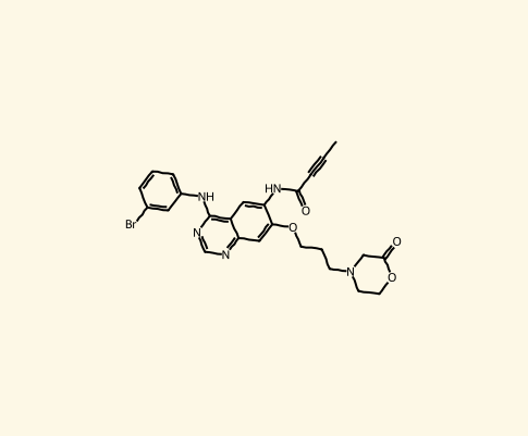 CC#CC(=O)Nc1cc2c(Nc3cccc(Br)c3)ncnc2cc1OCCCN1CCOC(=O)C1